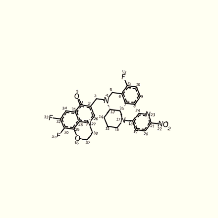 O=c1c(CN(Cc2ccccc2F)[C@H]2CCCN(c3ccc([N+](=O)[O-])nc3)C2)cn2c3c(c(F)c(F)cc13)OCC2